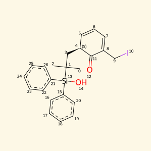 CC(C)(C[C@H]1C=CC=C(CI)C1=O)[Si](O)(c1ccccc1)c1ccccc1